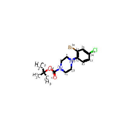 CC(C)(C)OC(=O)N1CCN(c2ccc(Cl)cc2Br)CC1